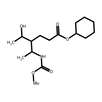 CC(O)C(CCC(=O)OC1CCCCC1)C(C)NC(=O)OC(C)(C)C